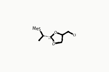 CSC(C)[C@H]1OCC(CCl)O1